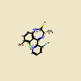 C[C@@H]1N=C(c2ncccc2F)c2c(ccc(Br)c2Cl)NC1=S